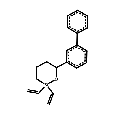 C=C[Si]1(C=C)CCCC(c2cccc(-c3ccccc3)c2)O1